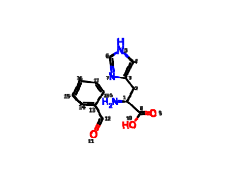 N[C@@H](Cc1c[nH]cn1)C(=O)O.O=Cc1ccccc1